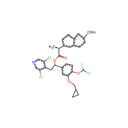 COc1ccc2cc([C@H](C)C(=O)OC(Cc3c(Cl)cncc3Cl)c3ccc(OC(F)F)c(OCC4CC4)c3)ccc2c1